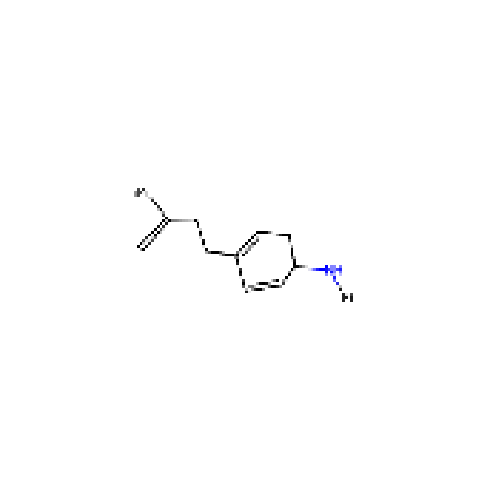 C=C(CCC1=CCC(NCC)C=C1)C(C)C